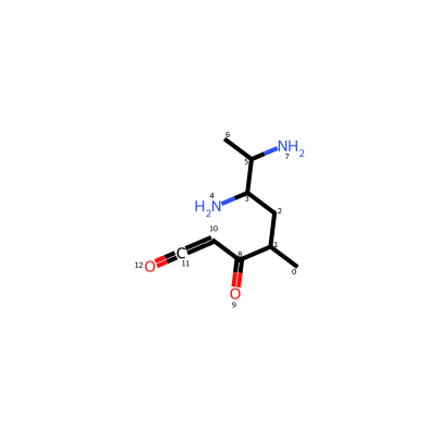 CC(CC(N)C(C)N)C(=O)C=C=O